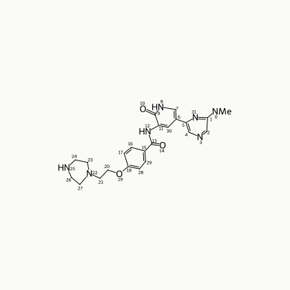 CNc1cncc(-c2c[nH]c(=O)c(NC(=O)c3ccc(OCCN4CCNCC4)cc3)c2)n1